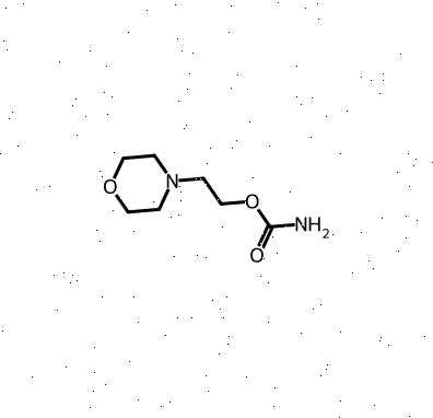 NC(=O)OCCN1CCOCC1